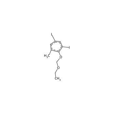 CCOCOc1c(C)cc(I)cc1I